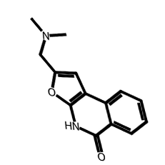 CN(C)Cc1cc2c([nH]c(=O)c3ccccc32)o1